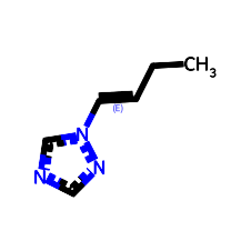 CC/C=C/n1cncn1